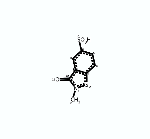 Cn1sc2ccc(S(=O)(=O)O)cc2c1=O